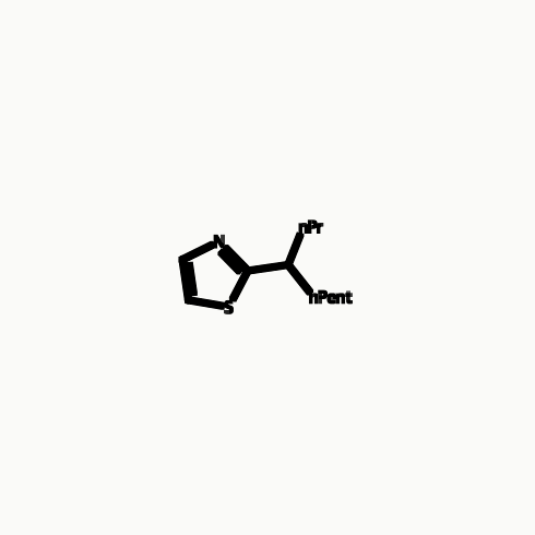 CCCCCC(CCC)c1nccs1